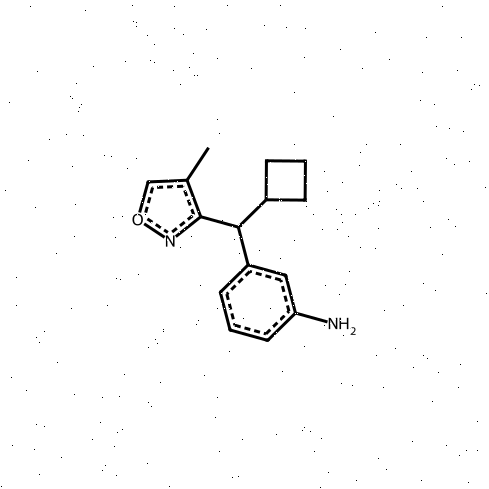 Cc1conc1C(c1cccc(N)c1)C1CCC1